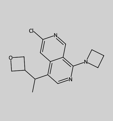 CC(c1cnc(N2CCC2)c2cnc(Cl)cc12)C1COC1